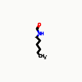 [CH2]CCCC[CH]NC=O